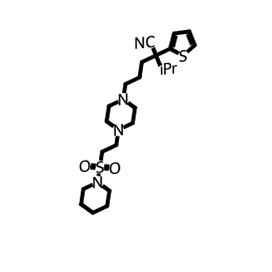 CC(C)C(C#N)(CCCN1CCN(CCS(=O)(=O)N2CCCCC2)CC1)c1cccs1